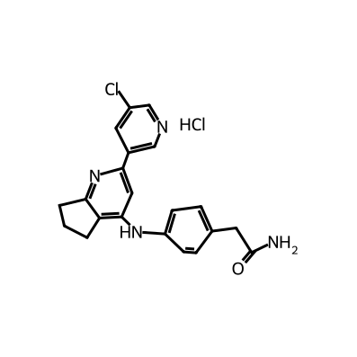 Cl.NC(=O)Cc1ccc(Nc2cc(-c3cncc(Cl)c3)nc3c2CCC3)cc1